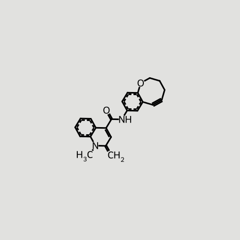 C=C1C=C(C(=O)Nc2ccc3c(c2)C#CCCCO3)c2ccccc2N1C